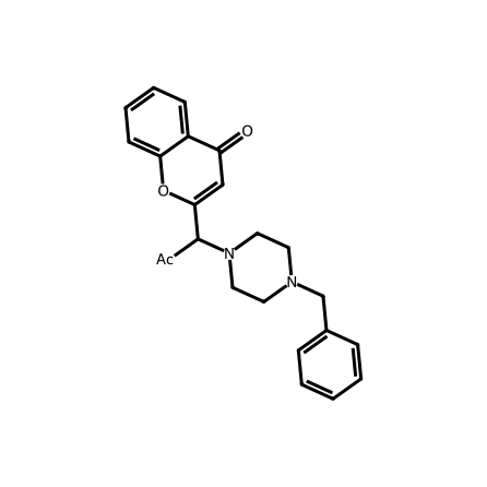 CC(=O)C(c1cc(=O)c2ccccc2o1)N1CCN(Cc2ccccc2)CC1